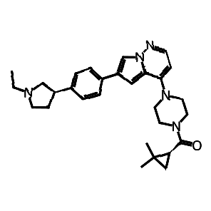 CCN1CCC(c2ccc(-c3cc4c(N5CCN(C(=O)[C@H]6CC6(C)C)CC5)ccnn4c3)cc2)C1